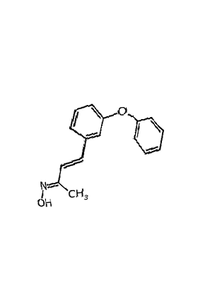 CC(/C=C/c1cccc(Oc2ccccc2)c1)=N\O